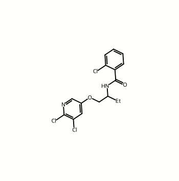 [CH2]CC(COc1cnc(Cl)c(Cl)c1)NC(=O)c1ccccc1Cl